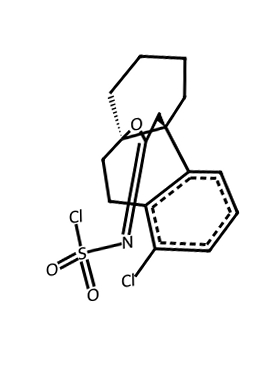 O=S(=O)(Cl)N=C1C[C@]23CCCC[C@]2(CCc2c(Cl)cccc23)O1